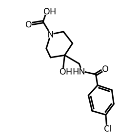 O=C(NCC1(O)CCN(C(=O)O)CC1)c1ccc(Cl)cc1